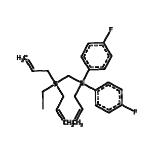 C=CC[Si](CI)(CC=C)C[Si](CC=C)(c1ccc(F)cc1)c1ccc(F)cc1